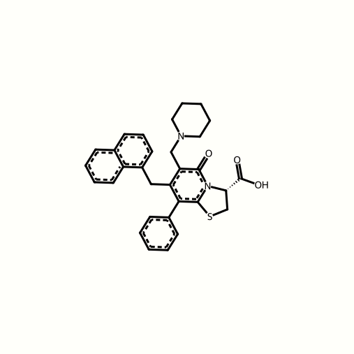 O=C(O)[C@@H]1CSc2c(-c3ccccc3)c(Cc3cccc4ccccc34)c(CN3CCCCC3)c(=O)n21